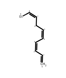 C=C/C=C\C=C/C/C=C\CC